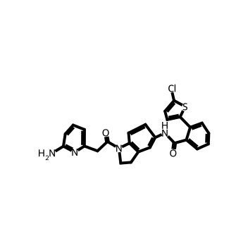 Nc1cccc(CC(=O)N2CCc3cc(NC(=O)c4ccccc4-c4ccc(Cl)s4)ccc32)n1